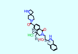 CC1(C)CN(C[C@@H](O)[C@H]2Cc3ccccc3CN2)C(=O)c2ccc(C(=O)N3CCC4(CCN4)CC3)cc21.Cl